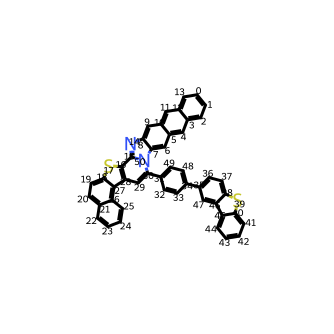 c1ccc2cc3cc4c(cc3cc2c1)nc1c2sc3ccc5ccccc5c3c2cc(-c2ccc(-c3ccc5sc6ccccc6c5c3)cc2)n41